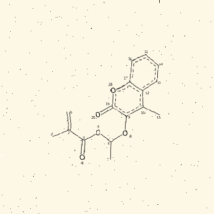 C=C(C)C(=O)OC(C)Oc1c(C)c2ccccc2oc1=O